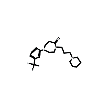 O=C1CCN(c2cccc(C(F)(F)F)c2)CCN1CCCN1CCCCC1